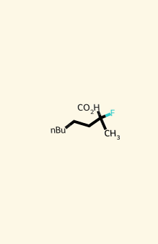 CCCCCCC(C)(F)C(=O)O